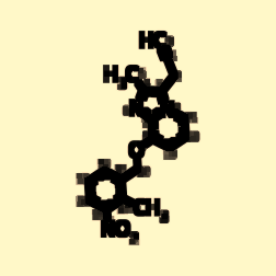 C#CCc1c(C)nc2c(OCc3cccc([N+](=O)[O-])c3C)cccn12